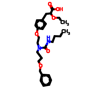 CCCCNC(=O)N(CCCOCc1ccccc1)CCOc1ccc(CC(OCC)C(=O)O)cc1